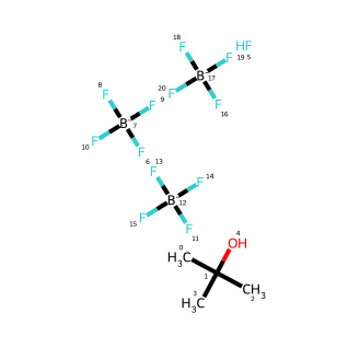 CC(C)(C)O.F.F[B-](F)(F)F.F[B-](F)(F)F.F[B-](F)(F)F